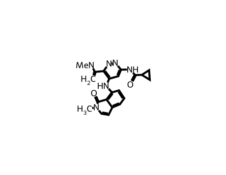 C=C(NC)c1nnc(NC(=O)C2CC2)cc1Nc1cccc2ccn(C)c(=O)c12